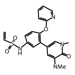 C=CS(=O)(=O)Nc1ccc(Oc2ccccn2)c(-c2cc(NC)c(=O)n(C)c2)c1